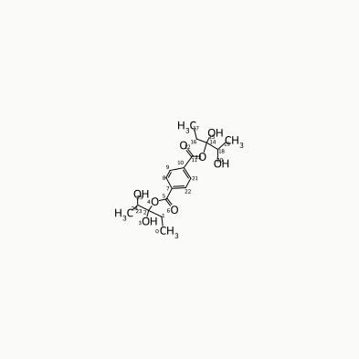 CCC(O)(OC(=O)c1ccc(C(=O)OC(O)(CC)C(C)O)cc1)C(C)O